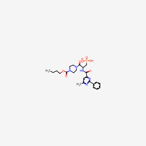 CCCCOC(=O)N1CCN(C(=O)C(CP(=O)(O)O)NC(=O)c2cc(C)nc(-c3ccccc3)n2)CC1